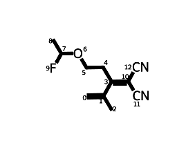 C=C(C)C(CCOC(C)F)=C(C#N)C#N